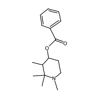 CC1C(OC(=O)c2ccccc2)CCN(C)C1(C)C